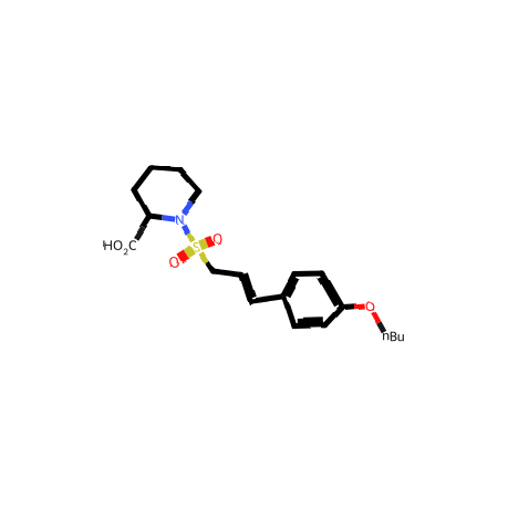 CCCCOc1ccc(C=CCS(=O)(=O)N2CCCCC2C(=O)O)cc1